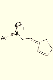 CC(=O)N(C)C/C=C1\C=CCC1